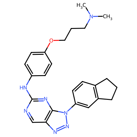 CN(C)CCCOc1ccc(Nc2ncc3nnn(-c4ccc5c(c4)CCC5)c3n2)cc1